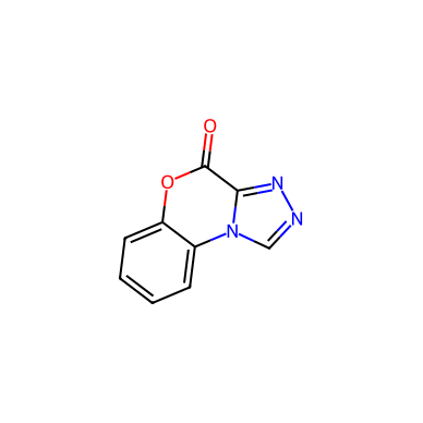 O=c1oc2ccccc2n2cnnc12